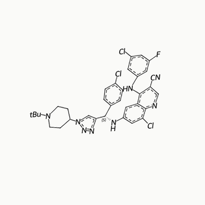 CC(C)(C)N1CCC(n2cc([C@@H](Nc3cc(Cl)c4ncc(C#N)c(Nc5cc(F)cc(Cl)c5)c4c3)c3ccc(Cl)cc3)nn2)CC1